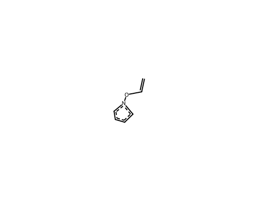 C=COn1cccc1